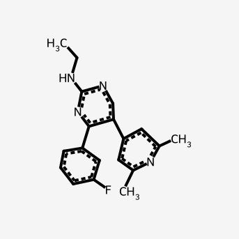 CCNc1ncc(-c2cc(C)nc(C)c2)c(-c2cccc(F)c2)n1